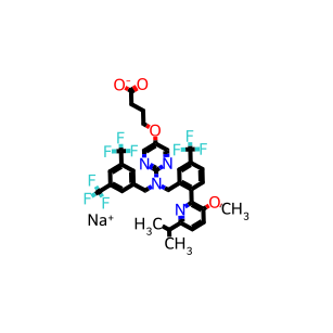 COc1ccc(C(C)C)nc1-c1ccc(C(F)(F)F)cc1CN(Cc1cc(C(F)(F)F)cc(C(F)(F)F)c1)c1ncc(OCCCC(=O)[O-])cn1.[Na+]